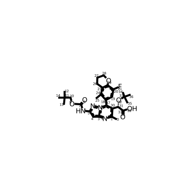 Cc1nc2cc(NC(=O)OCC(C)(C)C)nn2c(-c2cc(F)c3c(c2C)CCCO3)c1[C@H](OC(C)(C)C)C(=O)O